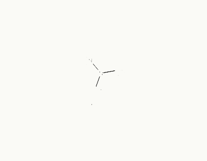 CCCCN(N)C(C)(C)C.Cl